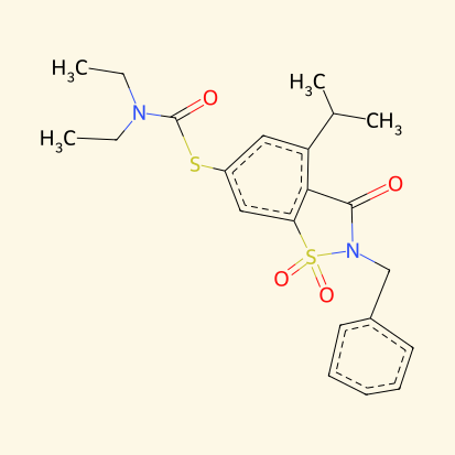 CCN(CC)C(=O)Sc1cc(C(C)C)c2c(c1)S(=O)(=O)N(Cc1ccccc1)C2=O